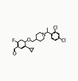 CC(c1ccc(Cl)cc1Cl)N1CCC(COC2CC(F)=C(C=O)C=C2C2CC2)CC1